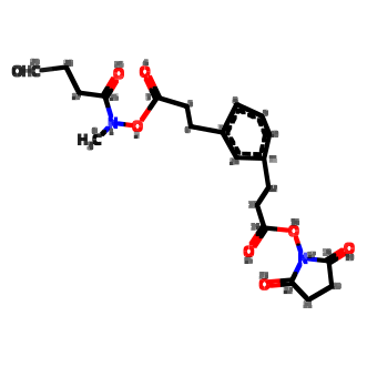 CN(OC(=O)CCc1cccc(CCC(=O)ON2C(=O)CCC2=O)c1)C(=O)CCC=O